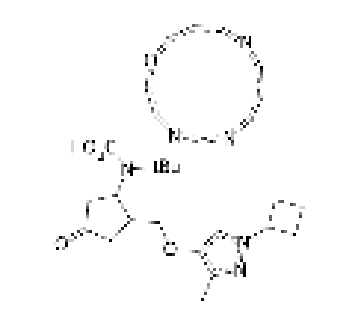 Cc1nn(C2CCC2)cc1OCC1CC(=O)CC1N(C(=O)O)C(C)(C)C.c1cncccoccncnc1